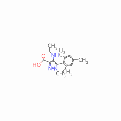 CCNc1c(C(=O)O)nn(C)c1-c1c(C)cc(C)cc1C